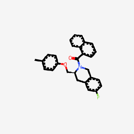 Cc1ccc(OC[C@@H]2Cc3cc(F)ccc3CN2C(=O)c2cccc3ccccc23)cc1